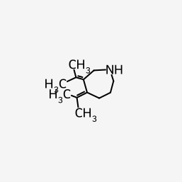 CC(C)=C1CCCNCC1=C(C)C